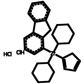 C1=CC[C]([Zr]([c]2cccc3c2Cc2ccccc2-3)([CH]2CCCCC2)[CH]2CCCCC2)=C1.Cl.Cl